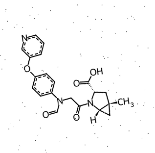 C[C@@]12C[C@@H]1N(C(=O)CN(C=O)c1ccc(Oc3cccnc3)cc1)[C@H](C(=O)O)C2